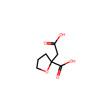 O=C(O)CC1(C(=O)O)CCCO1